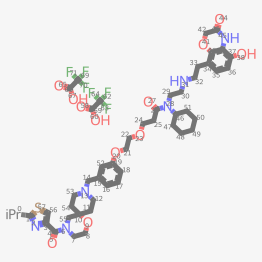 CC(C)c1nc(C(=O)N2CCOC3(CCN(Cc4cccc(OCCOCCC(=O)N(CCNCCc5ccc(O)c6c5OCC(=O)N6)C5CCCCC5)c4)CC3)C2)cs1.O=C(O)C(F)(F)F.O=C(O)C(F)(F)F